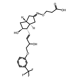 O=C(O)CCON=C1C[C@H]2C[C@H](O)[C@@H](C=CC(O)COc3cccc(C(F)(F)F)c3)[C@@H]2C1